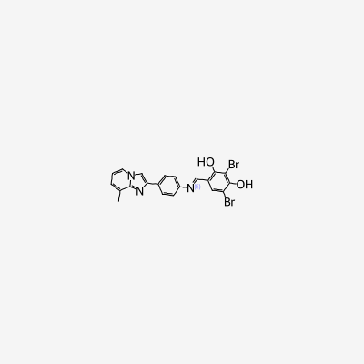 Cc1cccn2cc(-c3ccc(/N=C/c4cc(Br)c(O)c(Br)c4O)cc3)nc12